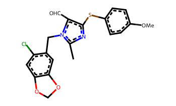 COc1ccc(Sc2nc(C)n(Cc3cc4c(cc3Cl)OCO4)c2C=O)cc1